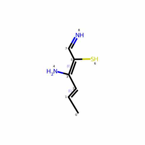 C/C=C/C(N)=C(\S)C=N